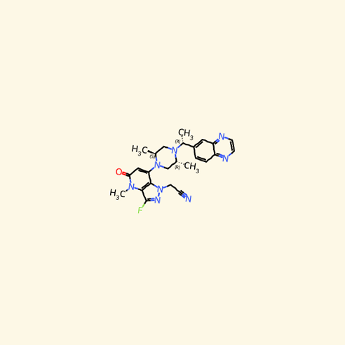 C[C@@H]1CN(c2cc(=O)n(C)c3c(F)nn(CC#N)c23)[C@@H](C)CN1[C@H](C)c1ccc2nccnc2c1